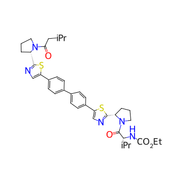 CCOC(=O)N[C@@H](C(=O)N1CCC[C@H]1c1ncc(-c2ccc(-c3ccc(-c4cnc([C@@H]5CCCN5C(=O)CC(C)C)s4)cc3)cc2)s1)C(C)C